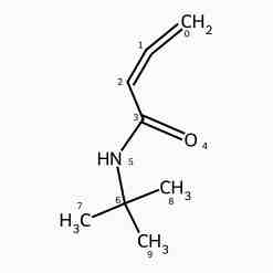 C=C=CC(=O)NC(C)(C)C